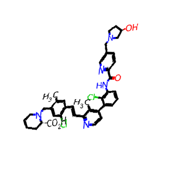 Cc1cc(/C=C/c2nccc(-c3cccc(NC(=O)c4ccc(CN5CC[C@@H](O)C5)cn4)c3Cl)c2C)c(Cl)cc1CN1CCCC[C@H]1C(=O)O